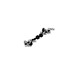 COC(=O)N[C@H](C(=O)N1CCC[C@H]1c1ncc(C#Cc2ccc(-c3ccc4[nH]c([C@@H]5C[Si](C)(C)CN5C(=O)[C@@H](NC(=O)OC)C(C)C)nc4c3)cc2)[nH]1)C(C)C